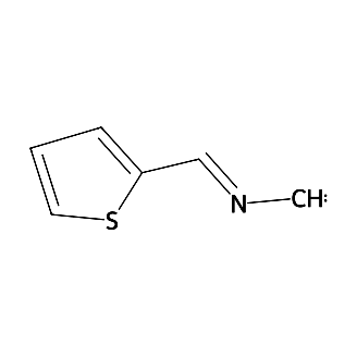 [CH]/N=C/c1cccs1